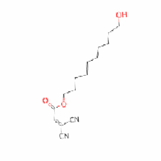 N#CC(C#N)=CC(=O)OCCCCCCCCCCO